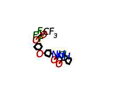 O=C(NC(=O)c1ccccc1Cl)Nc1ccc(Oc2ccc(OC(F)(F)C(F)OC(F)(F)F)cc2)cc1